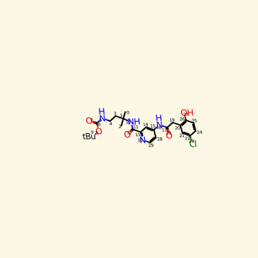 CC(C)(CCNC(=O)OC(C)(C)C)NC(=O)c1cc(NC(=O)Cc2cc(Cl)ccc2O)ccn1